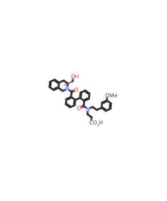 COc1cccc(CCN(CCC(=O)O)C(=O)c2ccccc2-c2ccccc2C(=O)N2Cc3ccccc3C[C@H]2CO)c1